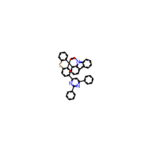 c1ccc(-c2cc(-c3ccc4c(c3)C3(c5ccccc5S4)c4ccccc4-n4c5ccccc5c5cccc3c54)nc(-c3ccccc3)n2)cc1